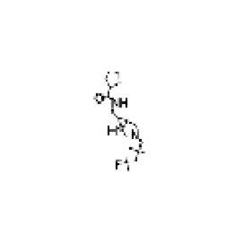 CC(C)(F)CC(C)(C)CN1CC2C(CNC(=O)C3CCCC3)[C@H]2C1